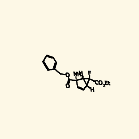 CCOC(=O)[C@@]1(F)[C@@H]2C=C[C@@](N)(C(=O)OCc3ccccc3)[C@@H]21